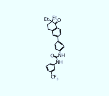 CCC1(CC)CCc2cc(-c3ccc(NC(=O)Nc4cccc(C(F)(F)F)c4)cc3)ccc2C1=O